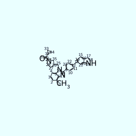 Cc1cccc2c1nc(-c1ccc(-c3ccc4cc[nH]c4c3)cc1)n2C[C@H]1CCN(C(=O)C2CC2)C1